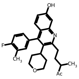 CC(=O)C(C)CCc1nc2cc(O)ccc2c(-c2ccc(F)c(C)c2)c1C1CCOCC1